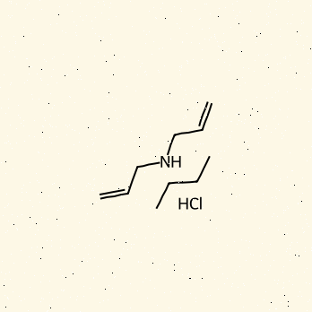 C=CCNCC=C.CCCC.Cl